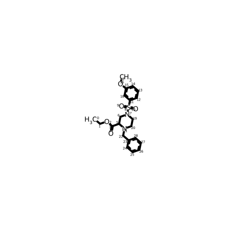 CCOC(=O)C1CN(S(=O)(=O)c2cccc(OC)c2)CCN1Cc1ccccc1